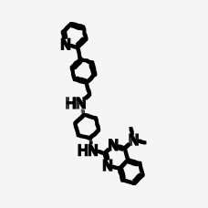 CN(C)c1nc(N[C@H]2CC[C@@H](NCc3ccc(-c4ccccn4)cc3)CC2)nc2ccccc12